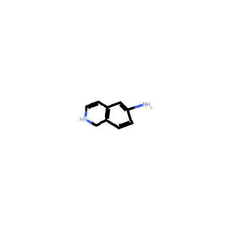 Nc1ccc2c(c1)C=CNC2